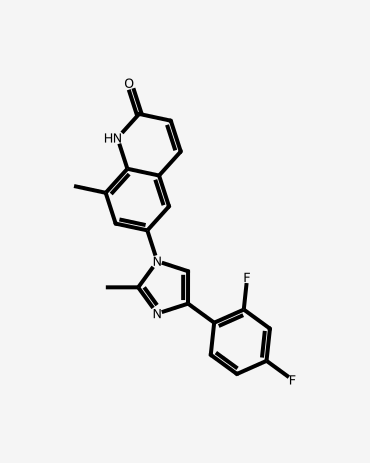 Cc1cc(-n2cc(-c3ccc(F)cc3F)nc2C)cc2ccc(=O)[nH]c12